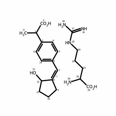 CC(C(=O)O)c1ccc(/C=C2/CCCC2O)cc1.N=C(N)NCCCC(N)C(=O)O